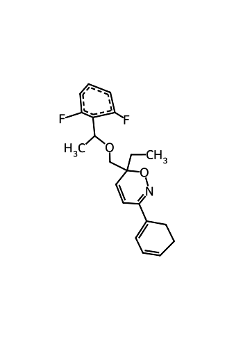 CCC1(COC(C)c2c(F)cccc2F)C=CC(C2=CC=CCC2)=NO1